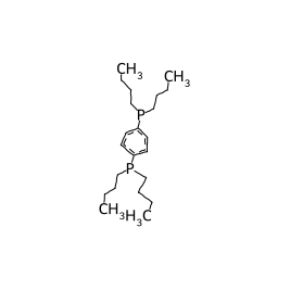 CCCCP(CCCC)c1ccc(P(CCCC)CCCC)cc1